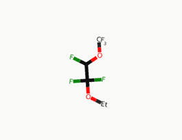 CCOC(F)(F)C(F)OC(F)(F)F